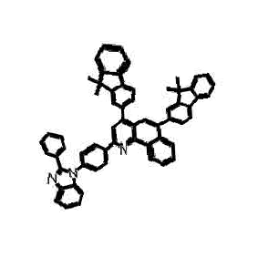 CC1(C)c2ccccc2-c2ccc(-c3cc4c(-c5ccc6c(c5)C(C)(C)c5ccccc5-6)cc(-c5ccc(-n6c(-c7ccccc7)nc7ccccc76)cc5)nc4c4ccccc34)cc21